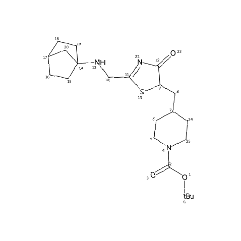 CC(C)(C)OC(=O)N1CCC(CC2SC(CNC34CCC(CC3)C4)=NC2=O)CC1